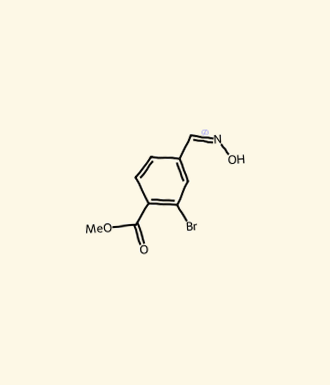 COC(=O)c1ccc(/C=N\O)cc1Br